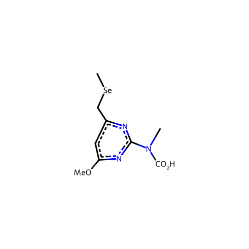 COc1cc(C[Se]C)nc(N(C)C(=O)O)n1